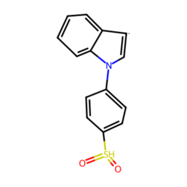 O=[SH](=O)c1ccc(-n2c[c]c3ccccc32)cc1